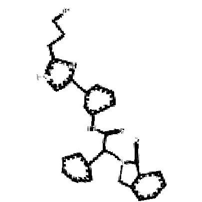 O=C(Nc1cccc(-c2c[nH]c(CCCO)n2)c1)C(c1ccccc1)N1Cc2ccccc2C1=O